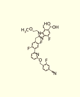 COCCn1c(Cc2cc(F)c(-c3cccc(OCc4ccc(C#N)cc4F)n3)cc2F)nc2c(F)cc(C(O)O)c(I)c21